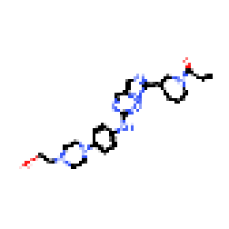 C=CC(=O)N1CCCC(c2ncc3cnc(Nc4ccc(N5CCN(CCO)CC5)cc4)nn23)C1